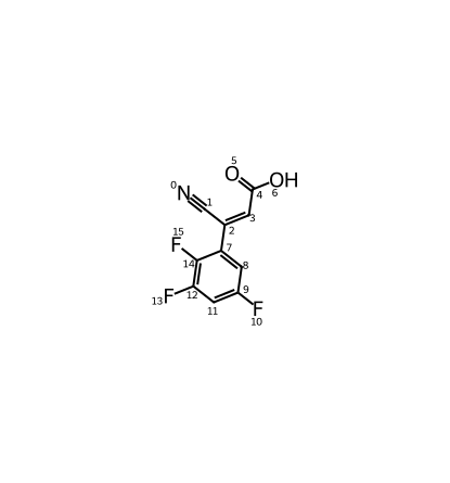 N#CC(=CC(=O)O)c1cc(F)cc(F)c1F